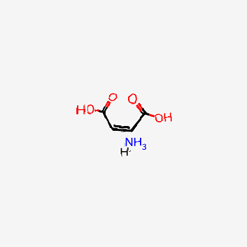 N.O=C(O)/C=C\C(=O)O.[H]